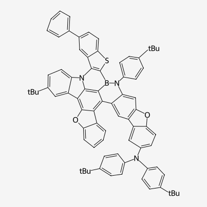 CC(C)(C)c1ccc(N2B3c4sc5ccc(-c6ccccc6)cc5c4-n4c5ccc(C(C)(C)C)cc5c5c6oc7ccccc7c6c(c3c54)-c3cc4c(cc32)oc2ccc(N(c3ccc(C(C)(C)C)cc3)c3ccc(C(C)(C)C)cc3)cc24)cc1